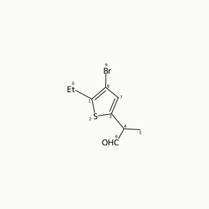 CCc1sc(C(C)C=O)cc1Br